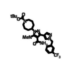 CNc1c(C(N)=O)c(-c2cnn(Cc3cccc(C(F)(F)F)c3)c2)nn1C1CCCN(C(=O)OC(C)(C)C)CCC1